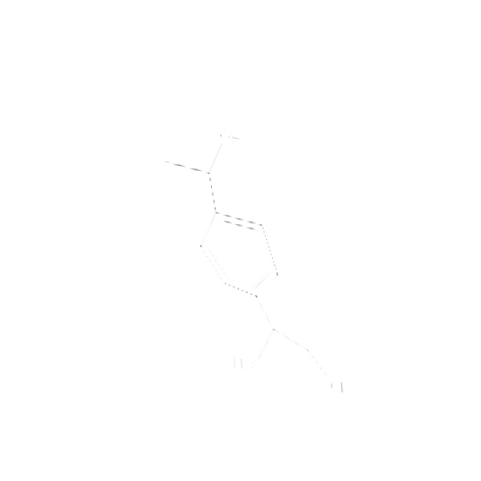 CCC(C)c1ccc(C(O)F)cc1